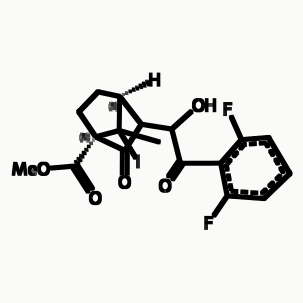 COC(=O)[C@@]12CC[C@@H](C(C(O)C(=O)c3c(F)cccc3F)C1=O)C2(C)I